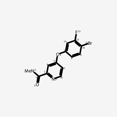 CNC(=O)c1cc(Oc2ccc(Br)c(F)c2)ccn1